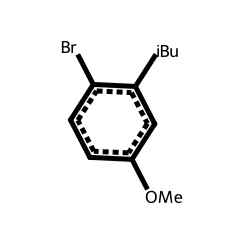 CCC(C)c1cc(OC)ccc1Br